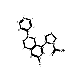 O=C(O)N1CCCC1c1cc(Cl)cc2c1CN(c1ccncc1)CC2